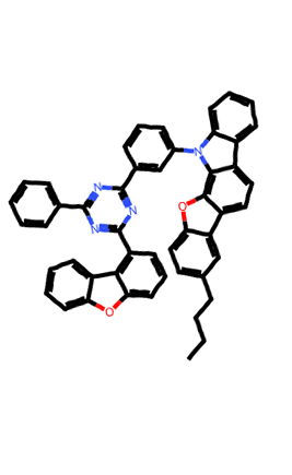 CCCCc1ccc2oc3c(ccc4c5ccccc5n(-c5cccc(-c6nc(-c7ccccc7)nc(-c7cccc8oc9ccccc9c78)n6)c5)c43)c2c1